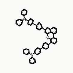 c1ccc(N(c2ccccc2)c2ccc(-c3ccc(-c4cc5c6c(cccc6c4)-c4cccc(-c6ccc(-c7ccc(N(c8ccccc8)c8ccccc8)cc7)cc6)c4O5)cc3)cc2)cc1